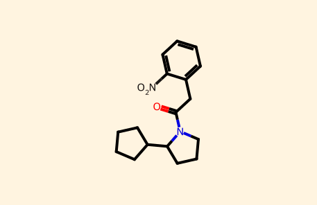 O=C(Cc1ccccc1[N+](=O)[O-])N1CCCC1C1CCCC1